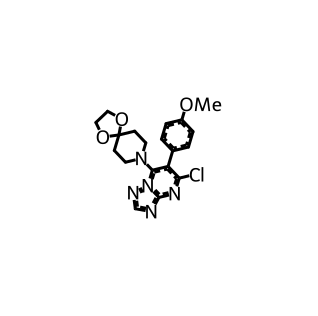 COc1ccc(-c2c(Cl)nc3ncnn3c2N2CCC3(CC2)OCCO3)cc1